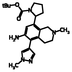 CN1CCc2c(c(C3CCCN3C(=O)OC(C)(C)C)cc(N)c2-c2cnn(C)c2)C1